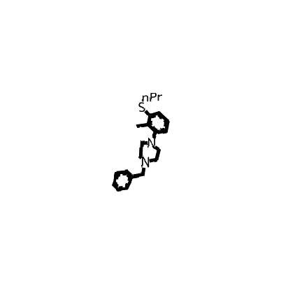 CCCSc1cccc(N2CCN(Cc3ccccc3)CC2)c1C